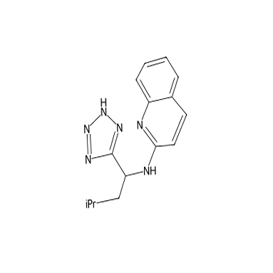 CC(C)CC(Nc1ccc2ccccc2n1)c1nn[nH]n1